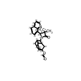 CC1(C)C(=O)N(C2C3CC4CC2CC(OC=O)(C4)C3)C1c1cccc2cccnc12